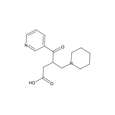 O=C(O)CC(CN1CCCCC1)C(=O)c1cccnc1